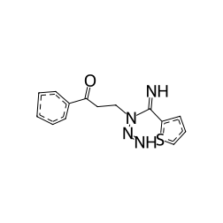 N=NN(CCC(=O)c1ccccc1)C(=N)c1cccs1